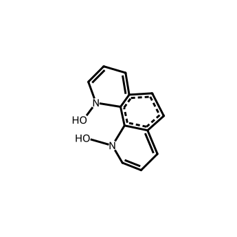 ON1C=CC=c2ccc3c(c21)N(O)C=CC=3